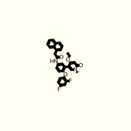 CCOc1cc(=O)n(C)cc1-c1cc(NC(=O)Cc2cccc3ccccc23)ccc1Oc1ccc(F)cc1F